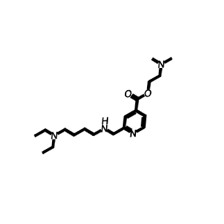 CCN(CC)CCCCNCc1cc(C(=O)OCCN(C)C)ccn1